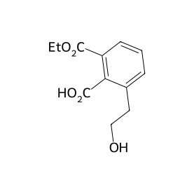 CCOC(=O)c1cccc(CCO)c1C(=O)O